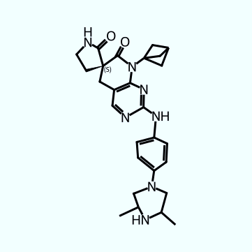 CC1CN(c2ccc(Nc3ncc4c(n3)N(C35CC(C3)C5)C(=O)[C@]3(CCNC3=O)C4)cc2)CC(C)N1